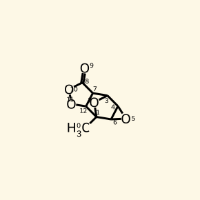 CC12OC(C3OC31)C1C(=O)OOC12